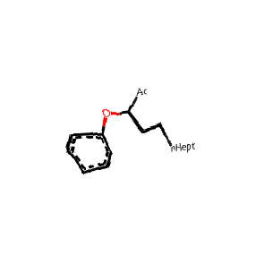 CCCCCCCCCC(Oc1ccccc1)C(C)=O